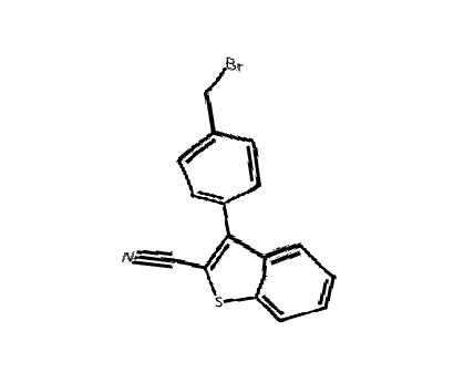 N#Cc1sc2ccccc2c1-c1ccc(CBr)cc1